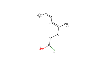 C/C=C\C=C(/C)CCC(O)Br